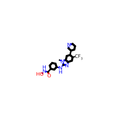 Cn1c(Nc2cccc(C(=O)NO)c2)nc2cc(C(F)(F)F)c(-c3cccnc3)cc21